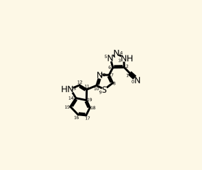 N#Cc1[nH]nnc1-c1csc(-c2c[nH]c3ccccc23)n1